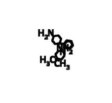 CC1(C)CCN(c2ccccc2C2(N)CCC(N)CC2)CC1